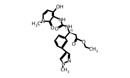 CCOC(=O)C[C@H](NC(=O)Nc1c(O)ccn(C)c1=O)c1cccc(-c2cnn(C)c2)c1